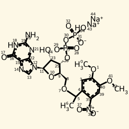 COc1cc(C(C)OC[C@H]2O[C@@H](n3cnc4c(=O)[nH]c(N)nc43)[C@H](O)[C@@H]2OP(=O)([O-])OP(=O)([O-])O)c([N+](=O)[O-])cc1OC.[Na+].[Na+]